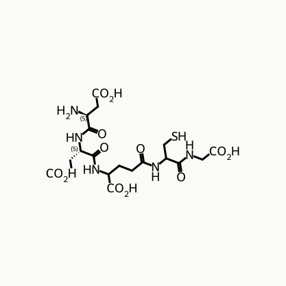 N[C@@H](CC(=O)O)C(=O)N[C@@H](CC(=O)O)C(=O)NC(CCC(=O)NC(CS)C(=O)NCC(=O)O)C(=O)O